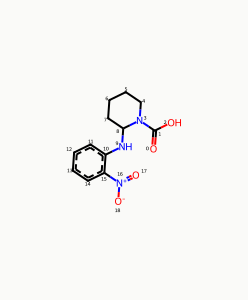 O=C(O)N1CCCCC1Nc1ccccc1[N+](=O)[O-]